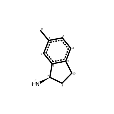 Cc1ccc2c(c1)[C@H]([NH])CC2